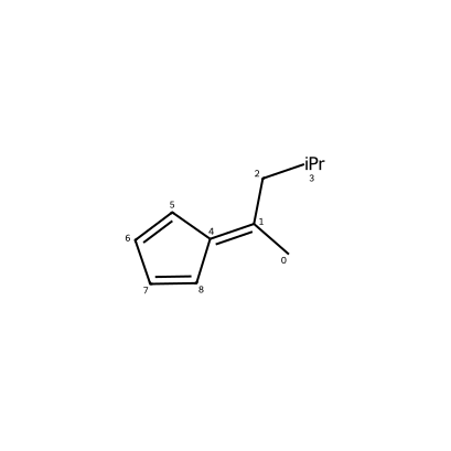 CC(CC(C)C)=C1C=CC=C1